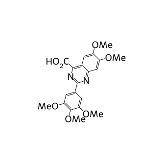 COc1cc2nc(-c3cc(OC)c(OC)c(OC)c3)nc(C(=O)O)c2cc1OC